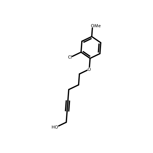 COc1ccc(OCCCC#CCO)c(Cl)c1